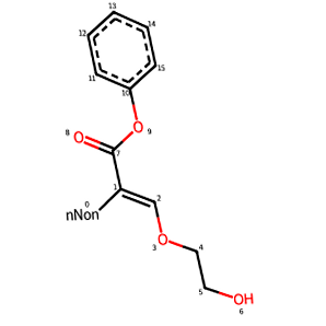 CCCCCCCCCC(=COCCO)C(=O)Oc1ccccc1